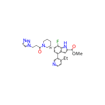 CCc1ccncc1-c1cc([C@H]2CCCN(C(=O)CCn3ccnn3)C2)c(F)c2[nH]c(C(=O)OC)cc12